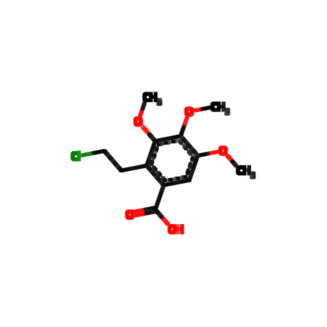 COc1cc(C(=O)O)c(CCCl)c(OC)c1OC